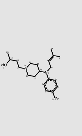 CC(C)=CCN(c1ccc(C(C)C)cc1)C1CCN(CCC(C)O)CC1